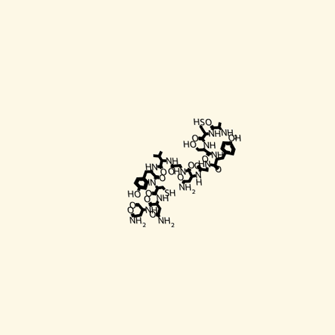 CC(N)C(=O)NC(CS)C(=O)NC(CO)C(=O)NC(Cc1ccc(O)cc1)C(=O)NCC(=O)NC(CC(N)=O)C(=O)NCC(=O)NC(C(=O)NC(Cc1ccc(O)cc1)C(=O)NC(CS)C(=O)NC(CC(N)=O)C(=O)NC(C=O)CC(N)=O)C(C)C